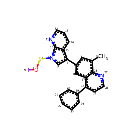 Cc1cc(-c2cn(SOI)c3ncccc23)cc2c(-c3ccccc3)ccnc12